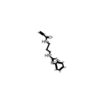 C#CC(=O)NCCCNc1nc2ccccc2s1